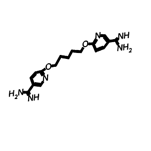 N=C(N)c1ccc(OCCCCCOc2ccc(C(=N)N)cn2)nc1